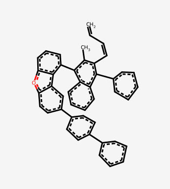 C=C/C=C\c1c(C)c(-c2cccc3oc4ccc(-c5ccc(-c6ccccc6)cc5)cc4c23)c2ccccc2c1-c1ccccc1